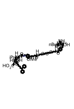 CCCCOc1nc(N)c2nc(O)n(Cc3ccc(C(=O)NCCCOCCOCCOCCCNC(=O)CCCOc4ccc(/C=C/C(=O)NCC(=O)N[C@H](C(=O)N[C@H](CCC(=O)O)C(=O)OCCCCC(C5CCCCC5)C5CCCCC5)C(C)C)cc4OC)cc3)c2n1